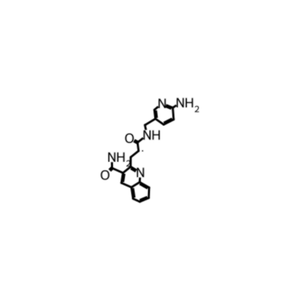 NC(=O)c1cc2ccccc2nc1C[CH]C(=O)NCc1ccc(N)nc1